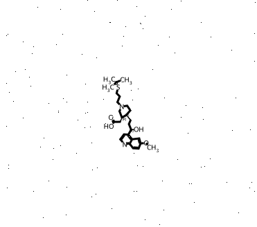 COc1ccc2nccc([C@H](O)CC[C@@H]3CCN(CCCSC(C)(C)C)C[C@@H]3CC(=O)O)c2c1